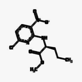 CCC[C@H](Nc1nc(Cl)ccc1[N+](=O)[O-])C(=O)OC